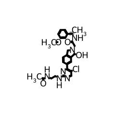 COc1cccc([C@@H](C)NC(=O)CN2Cc3ccc(-c4nc(NCCNC(C)=O)ncc4Cl)cc3C2O)c1